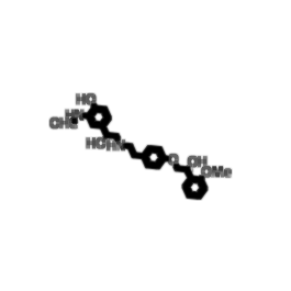 COc1ccccc1[C@H](O)COc1ccc(CCNC[C@H](O)c2ccc(O)c(NC=O)c2)cc1